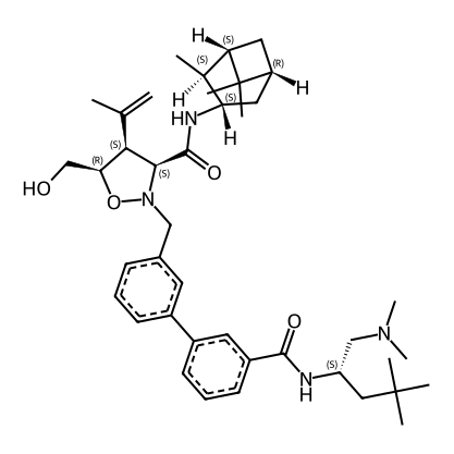 C=C(C)[C@@H]1[C@H](CO)ON(Cc2cccc(-c3cccc(C(=O)N[C@H](CN(C)C)CC(C)(C)C)c3)c2)[C@@H]1C(=O)N[C@H]1C[C@H]2C[C@@H]([C@@H]1C)C2(C)C